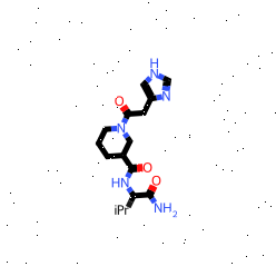 CC(C)C(NC(=O)C1CCCN(C(=O)Cc2c[nH]cn2)C1)C(N)=O